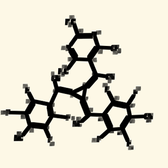 N#CC(=C1C(=C(C#N)c2c(F)c(F)c(C#N)c(F)c2F)C1=C(C#N)c1c(F)c(F)c(C#N)c(F)c1F)c1c(C(F)(F)F)nc(C(F)(F)F)nc1C(F)(F)F